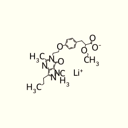 CCCc1nn(C)c2c(=O)n(CCOc3ccc(CC(OCC)C(=O)[O-])cc3)c(C)nc12.[Li+]